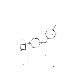 CN1CCC(CN2CCN(C3(C)COC3)CC2)CC1